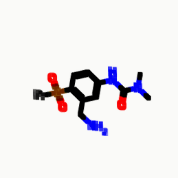 CC(C)S(=O)(=O)c1ccc(NC(=O)N(C)C)cc1CN